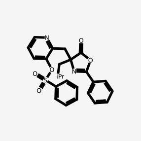 CC(C)CC1(Cc2ncccc2OS(=O)(=O)c2ccccc2)N=C(c2ccccc2)OC1=O